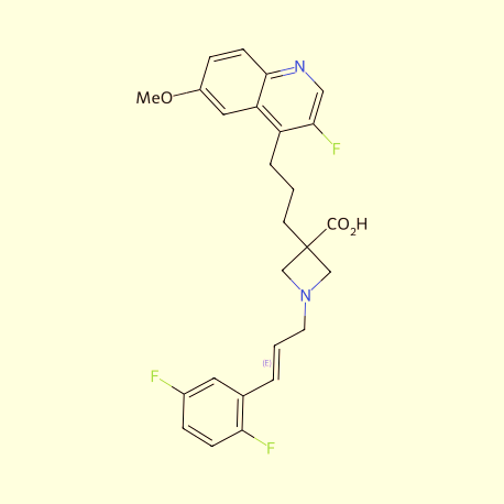 COc1ccc2ncc(F)c(CCCC3(C(=O)O)CN(C/C=C/c4cc(F)ccc4F)C3)c2c1